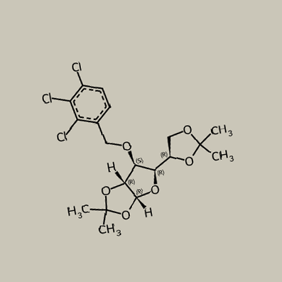 CC1(C)O[C@H]2O[C@H]([C@H]3COC(C)(C)O3)[C@H](OCc3ccc(Cl)c(Cl)c3Cl)[C@H]2O1